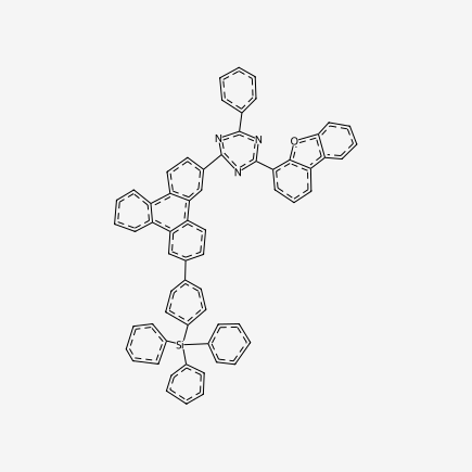 c1ccc(-c2nc(-c3ccc4c5ccccc5c5cc(-c6ccc([Si](c7ccccc7)(c7ccccc7)c7ccccc7)cc6)ccc5c4c3)nc(-c3cccc4c3oc3ccccc34)n2)cc1